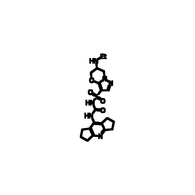 CCNC1COc2c(S(=O)(=O)NC(=O)Nc3c4c(nc5c3CCC5)CCC4)cnn2C1